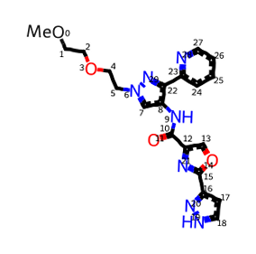 COCCOCCn1cc(NC(=O)c2coc(-c3cc[nH]n3)n2)c(-c2ccccn2)n1